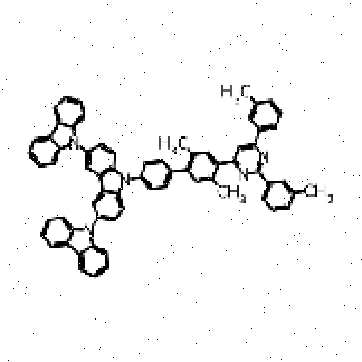 Cc1cccc(-c2cc(-c3cc(C)c(-c4ccc(-n5c6ccc(-n7c8ccccc8c8ccccc87)cc6c6cc(-n7c8ccccc8c8ccccc87)ccc65)cc4)cc3C)nc(-c3cccc(C)c3)n2)c1